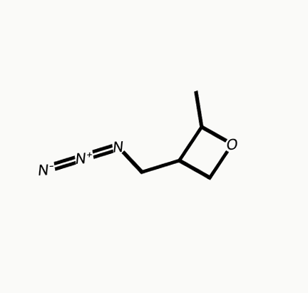 CC1OCC1CN=[N+]=[N-]